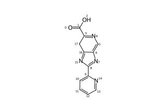 O=C(O)C1=NC=C2N=C(c3ccccn3)N=C2C1